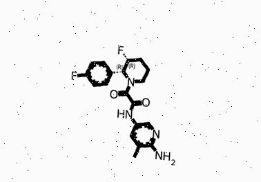 Cc1cc(NC(=O)C(=O)N2CCC[C@@H](F)[C@H]2c2ccc(F)cc2)cnc1N